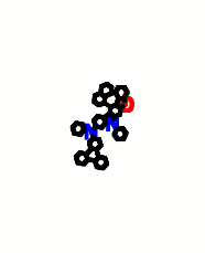 c1ccc(N(c2ccc3c4ccccc4c4ccccc4c3c2)c2ccc3c4c(-c5cccc6ccccc56)c5c(cc4n(-c4ccccc4)c3c2)oc2ccccc25)cc1